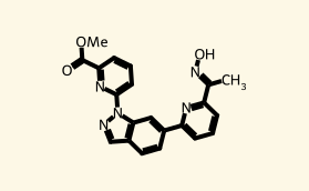 COC(=O)c1cccc(-n2ncc3ccc(-c4cccc(C(C)=NO)n4)cc32)n1